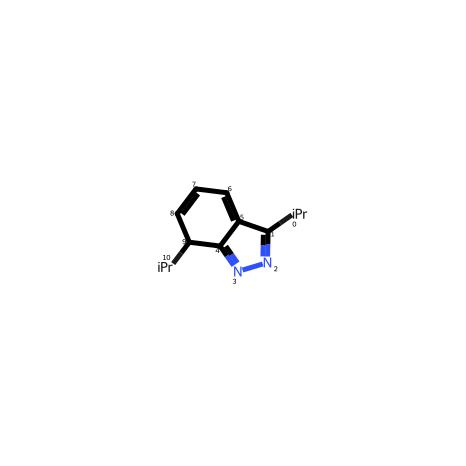 CC(C)C1=NN=C2C1=CC=CC2C(C)C